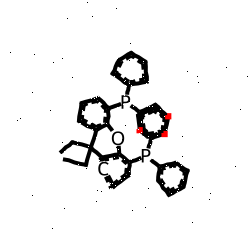 CCC1(CC)c2cccc(P(c3ccccc3)c3ccccc3)c2Oc2c(P(c3ccccc3)c3ccccc3)cccc21